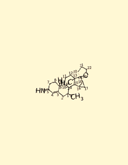 CC1CC2=CC(=N)CC[C@@H]2C2CC[C@@]3(C)C(C4CC4[C@@]34CCCO4)C12